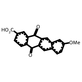 COc1ccc2cc3c(cc2c1)C(=O)c1cc(C(=O)O)ccc1C3=O